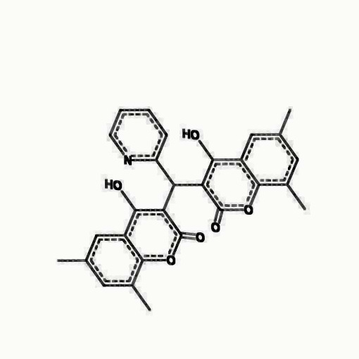 Cc1cc(C)c2oc(=O)c(C(c3ccccn3)c3c(O)c4cc(C)cc(C)c4oc3=O)c(O)c2c1